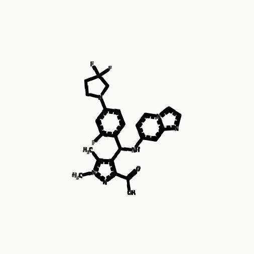 Cc1c(C(Nc2ccn3ccnc3c2)c2ccc(N3CCC(F)(F)C3)cc2F)c(C(=O)O)nn1C